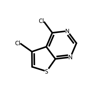 Clc1csc2ncnc(Cl)c12